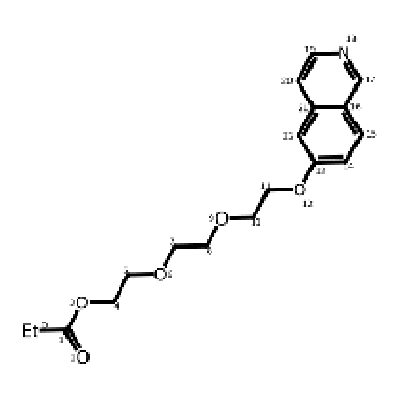 CCC(=O)OCCOCCOCCOc1ccc2cnccc2c1